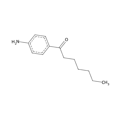 CCCCCCC(=O)c1ccc(N)cc1